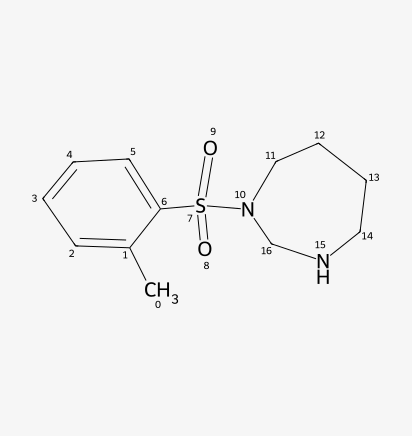 Cc1ccccc1S(=O)(=O)N1CCCCNC1